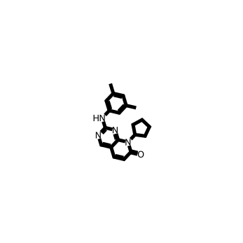 Cc1cc(C)cc(Nc2ncc3ccc(=O)n(C4CCCC4)c3n2)c1